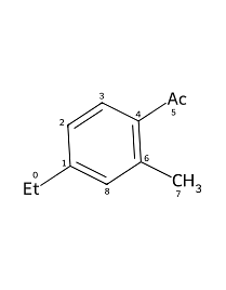 CCc1ccc(C(C)=O)c(C)c1